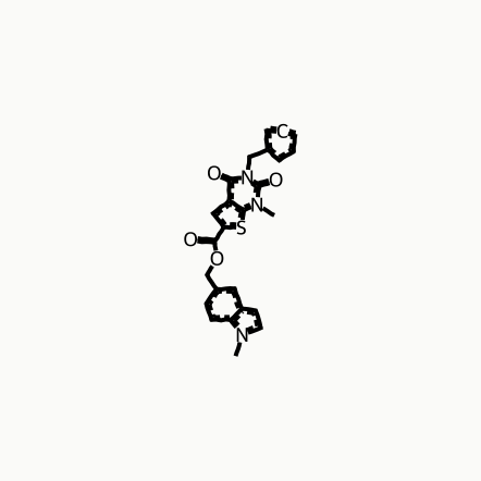 Cn1ccc2cc(COC(=O)c3cc4c(=O)n(Cc5ccccc5)c(=O)n(C)c4s3)ccc21